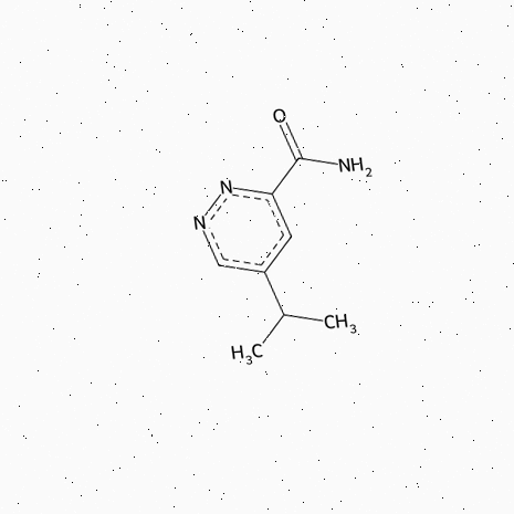 CC(C)c1cnnc(C(N)=O)c1